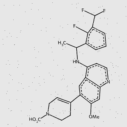 COc1cc2nccc(NC(C)c3cccc(C(F)F)c3F)c2cc1C1=CCN(C(=O)O)CC1